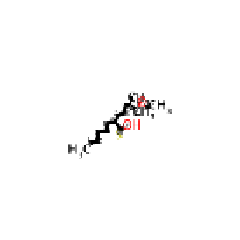 CCCCCCC(CCC[Si](C)(C)OCC)C(O)=S